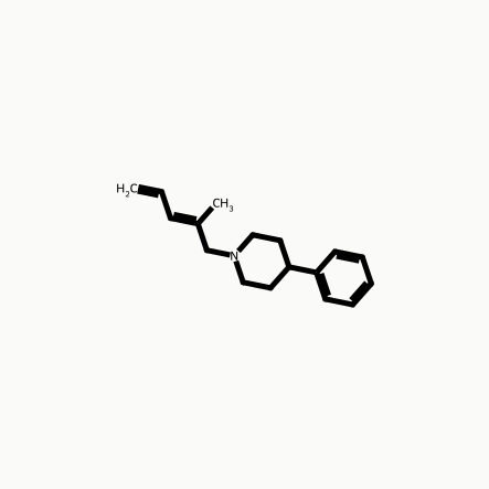 C=C/C=C(\C)CN1CCC(c2ccccc2)CC1